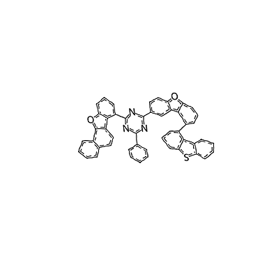 c1ccc(-c2nc(-c3ccc4oc5cccc(-c6cccc7sc8ccccc8c67)c5c4c3)nc(-c3cccc4oc5c6ccccc6ccc5c34)n2)cc1